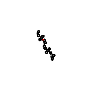 c1ccc2c(c1)oc1ccc(-c3c4ccccc4c(-c4ccc5ccc(-c6ccc7ccc(-c8c9ccccc9c(-c9ccc(-c%10cccc%11c%10oc%10ccccc%10%11)cc9)c9ccccc89)cc7c6)cc5c4)c4ccccc34)cc12